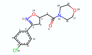 O=C(CC1CC(c2ccc(Cl)cc2)=NO1)N1CCOCC1